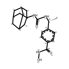 C[C@@H](NC(=O)NC12CC3CC(CC(C3)C1)C2)c1ccc(C(=O)NO)cc1